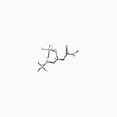 COC(=O)C[C@@H](CO[Si](C)(C)C)O[Si](C)(C)C